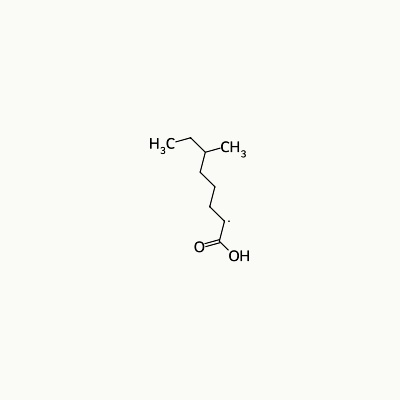 CCC(C)CCC[CH]C(=O)O